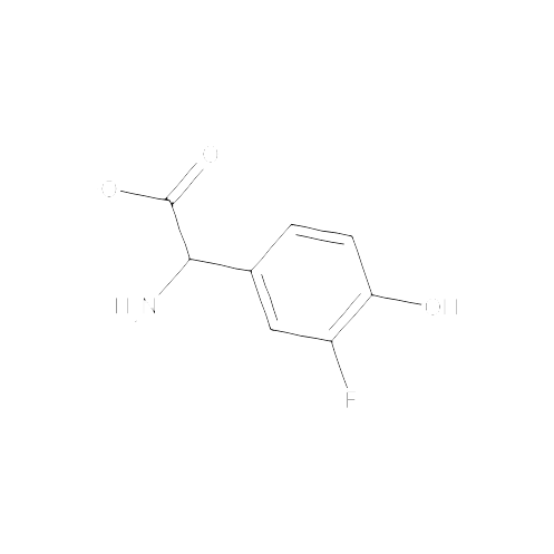 NC(C([O])=O)c1ccc(O)c(F)c1